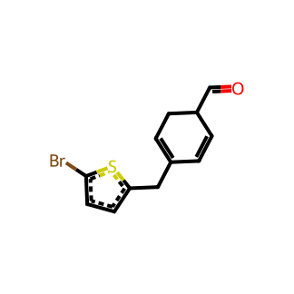 O=CC1C=CC(Cc2ccc(Br)s2)=CC1